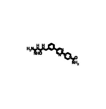 N=C(N)NC(=O)NCc1cccc(-c2cnc(N3CCN(C(N)=O)CC3)nc2)c1